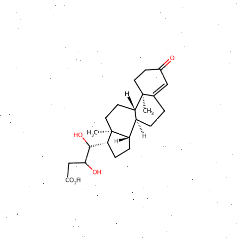 C[C@]12CC[C@H]3[C@@H](CCC4=CC(=O)CC[C@@]43C)[C@@H]1CC[C@@H]2C(O)C(O)CC(=O)O